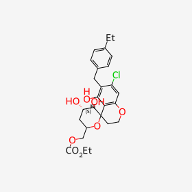 CCOC(=O)OCC1C[C@H](O)[C@@H](O)C2(CCOc3cc(Cl)c(Cc4ccc(CC)cc4)c(O)c32)O1